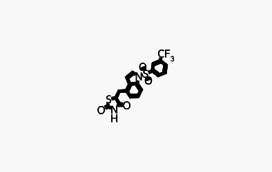 O=C1NC(=O)C(Cc2cccc3c2ccn3S(=O)(=O)c2cccc(C(F)(F)F)c2)S1